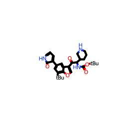 CC(C)(C)OC(=O)NC(C(=O)c1coc2c(C(C)(C)C)cc(-c3ccc[nH]c3=O)cc12)C1CCCNC1